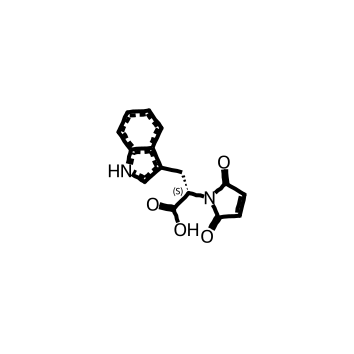 O=C(O)[C@H](Cc1c[nH]c2ccccc12)N1C(=O)C=CC1=O